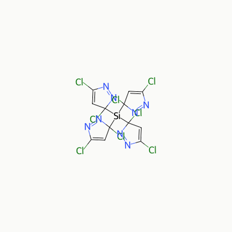 ClC1=CC(Cl)([Si](C2(Cl)C=C(Cl)N=N2)(C2(Cl)C=C(Cl)N=N2)C2(Cl)C=C(Cl)N=N2)N=N1